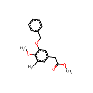 COC(=O)Cc1cc(C)c(OC)c(OCc2ccccc2)c1